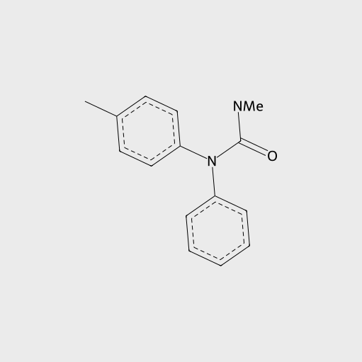 CNC(=O)N(c1ccccc1)c1ccc(C)cc1